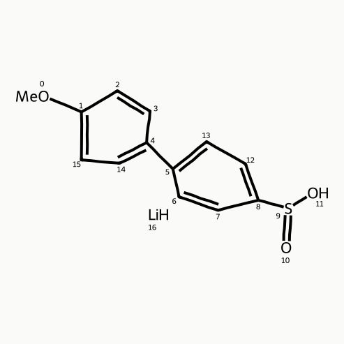 COc1ccc(-c2ccc(S(=O)O)cc2)cc1.[LiH]